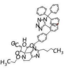 CCCCc1nc2c(n1Cc1ccc(-c3ccccc3-c3nnnn3C(c3ccccc3)(c3ccccc3)c3ccccc3)cc1)C(C(=O)O)(C(=O)C=C=O)N(OCC)CC2